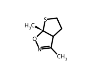 CC1=NO[C@]2(C)SCCC12